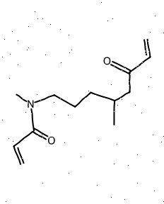 C=CC(=O)CC(C)CCCN(C)C(=O)C=C